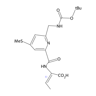 C/C=C(/NC(=O)c1cc(SC)cc(CNC(=O)OC(C)(C)C)n1)C(=O)O